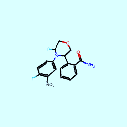 NC(=O)c1ccccc1C1COCC(F)N1c1ccc(F)c([N+](=O)[O-])c1